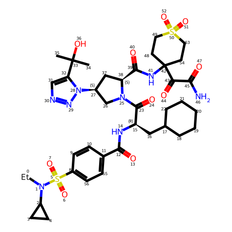 CCN(C1CC1)S(=O)(=O)c1ccc(C(=O)N[C@H](CC2CCCCC2)C(=O)N2C[C@@H](n3nncc3C(C)(C)O)C[C@H]2C(=O)NC2(C(=O)C(N)=O)CCS(=O)(=O)CC2)cc1